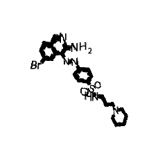 Nc1ncc2ccc(Br)cc2c1/N=N/c1ccc(S(=O)(=O)NCCCN2CCCCC2)cc1